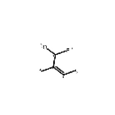 CC=C(C)C([O])F